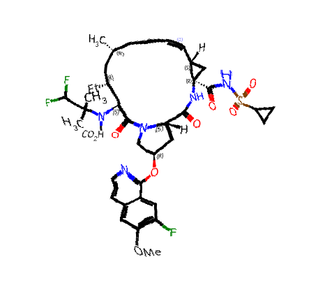 CC[C@@H]1C[C@H](C)CC/C=C\[C@@H]2C[C@@]2(C(=O)NS(=O)(=O)C2CC2)NC(=O)[C@@H]2C[C@@H](Oc3nccc4cc(OC)c(F)cc34)CN2C(=O)[C@H]1N(C(=O)O)C(C)(C)C(F)F